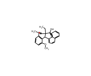 CCC(C#N)(C(=O)O)C(c1c(OC)cccc1OC)c1cccc2ccccc12